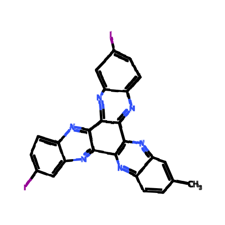 Cc1ccc2nc3c(nc2c1)c1nc2ccc(I)cc2nc1c1nc2ccc(I)cc2nc31